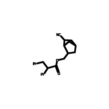 CC(C)CC(C(=O)OCC1CC2CC(C#N)C1C2)C(C)C